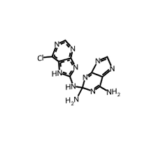 NC1=NC(N)(Nc2nc3ncnc(Cl)c3[nH]2)N=C2N=CN=C12